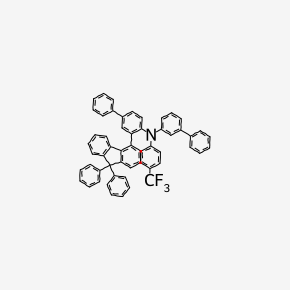 FC(F)(F)c1ccc(N(c2cccc(-c3ccccc3)c2)c2ccc(-c3ccccc3)cc2-c2cccc3c2-c2ccccc2C3(c2ccccc2)c2ccccc2)cc1